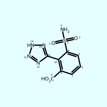 NS(=O)(=O)c1cccc(C(=O)O)c1-c1nn[nH]n1